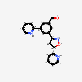 O=Cc1cc(C2=NO[C@H](c3ccccn3)C2)cc(-c2ccccn2)c1